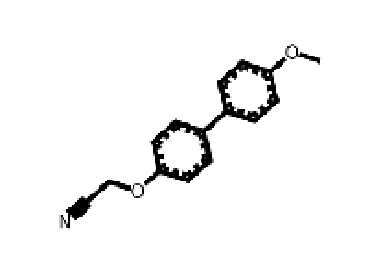 COc1ccc(-c2ccc(OCC#N)cc2)cc1